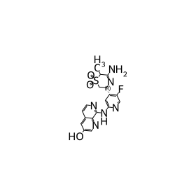 CC1C(N)=N[C@H](c2cc(Nc3nccc4cc(O)cnc34)ncc2F)CS1(=O)=O